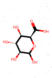 O=C(O)[C@H]1OC(O)[C@@H](O)[C@H](O)[C@H]1O